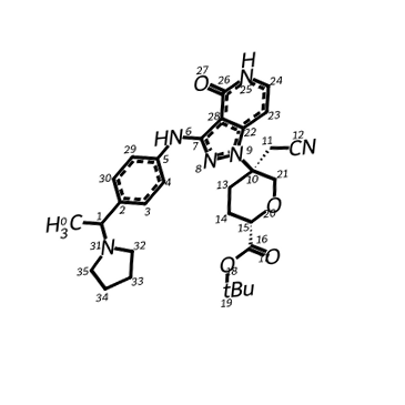 CC(c1ccc(Nc2nn([C@]3(CC#N)CC[C@@H](C(=O)OC(C)(C)C)OC3)c3cc[nH]c(=O)c23)cc1)N1CCCC1